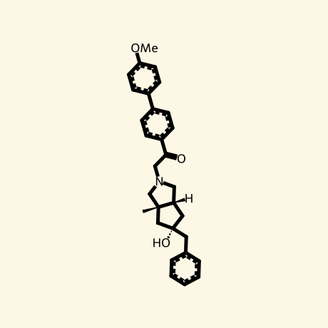 COc1ccc(-c2ccc(C(=O)CN3C[C@@H]4C[C@@](O)(Cc5ccccc5)C[C@]4(C)C3)cc2)cc1